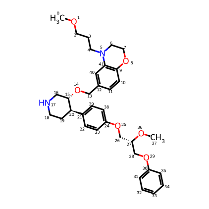 COCCCN1CCOc2ccc(CO[C@H]3CNCC[C@@H]3c3ccc(OC[C@@H](COc4ccccc4)OC)cc3)cc21